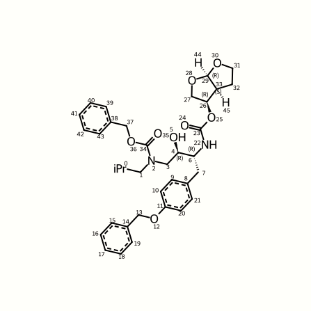 CC(C)CN(C[C@@H](O)[C@@H](Cc1ccc(OCc2ccccc2)cc1)NC(=O)O[C@H]1CO[C@H]2OCC[C@H]21)C(=O)OCc1ccccc1